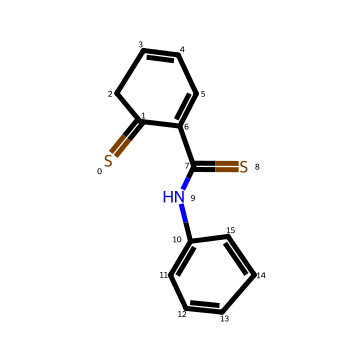 S=C1CC=CC=C1C(=S)Nc1ccccc1